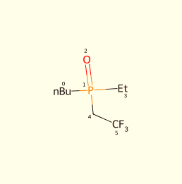 CCCCP(=O)(CC)CC(F)(F)F